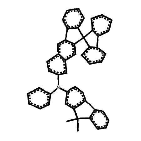 CC1(C)c2ccccc2-c2ccc(N(c3ccccc3)c3ccc4cc5c(cc4c3)C3(c4ccccc4-c4ccccc43)c3ccccc3-5)cc21